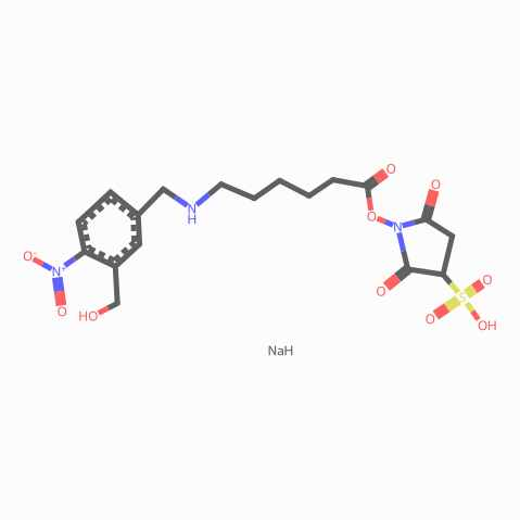 O=C(CCCCCNCc1ccc([N+](=O)[O-])c(CO)c1)ON1C(=O)CC(S(=O)(=O)O)C1=O.[NaH]